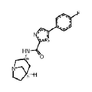 O=C(N[C@@H]1C[C@H]2CCN(C2)C1)c1ncc(-c2ccc(F)cc2)s1